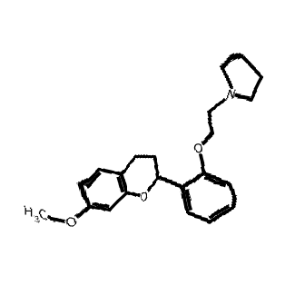 COc1ccc2c(c1)OC(c1ccccc1OCCN1CCCC1)CC2